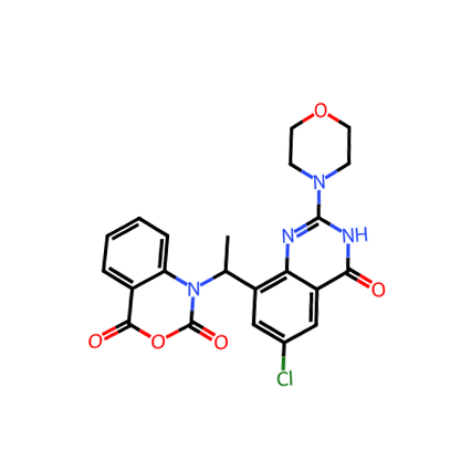 CC(c1cc(Cl)cc2c(=O)[nH]c(N3CCOCC3)nc12)n1c(=O)oc(=O)c2ccccc21